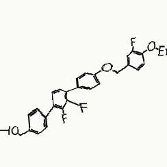 CCOc1ccc(COc2ccc(-c3ccc(-c4ccc(CO)cc4)c(F)c3F)cc2)cc1F